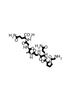 C[C@H](NC(=O)CNC(=O)[C@H](CCC(N)=O)NC(=O)[C@@H]1CCCN1C(=O)CN)C(=O)NCC(=O)N[C@@H](CCC(N)=O)C(=O)O